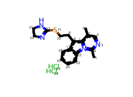 Cc1cnc(C)n2c1c(CCSC1=NCCN1)c1ccccc12.Cl.Cl